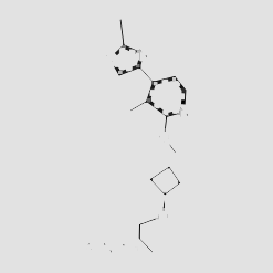 CC(=O)N[C@@H](C)CO[C@H]1C[C@H](COc2nccc(-c3csc(C)n3)c2C)C1